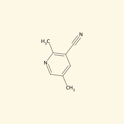 Cc1cnc(C)c(C#N)c1